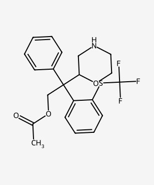 CC(=O)OCC(c1ccccc1)(c1ccccc1SC(F)(F)F)C1CNCCO1